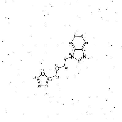 [c]1nc2ccccc2n1CCOCc1ccco1